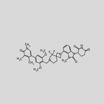 COc1cc(-c2cn(C)c(=O)c(C)c2C)cc(OC)c1CN1CCC2(CN(c3cccc4c3n(C)c(=O)n4C3CCC(=O)NC3=O)C2)C(F)(F)C1